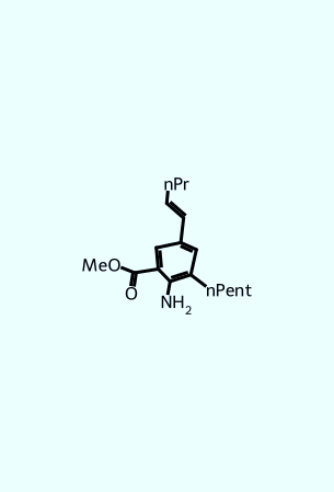 CCC/C=C/c1cc(CCCCC)c(N)c(C(=O)OC)c1